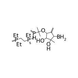 BC1C(=C)C(OC(C)(C)[PH](=C)CP(=C)(CC)CCP(=C)(CC)CC)C(O)C1(C)O